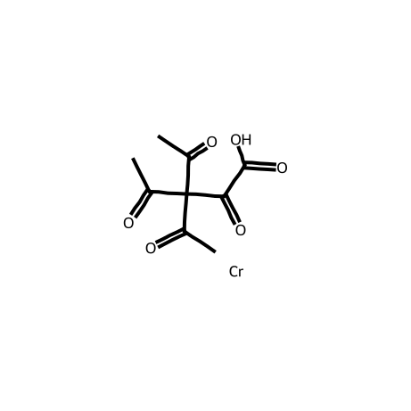 CC(=O)C(C(C)=O)(C(C)=O)C(=O)C(=O)O.[Cr]